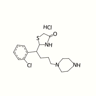 Cl.O=C1CSC(C(CCCN2CCNCC2)c2ccccc2Cl)N1